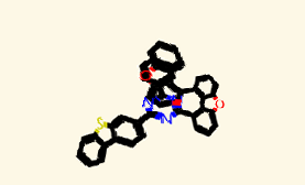 c1ccc(-c2nc(-c3ccc4c(c3)sc3ccccc34)nc(-c3cccc4oc5cccc(-c6cccc7oc8ccccc8c67)c5c34)n2)cc1